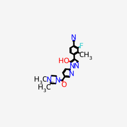 Cc1c(-c2cnn(-c3ccc(C(=O)N4CCN(C)[C@@H](C)C4)cn3)c2O)ccc(C#N)c1F